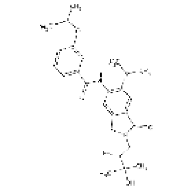 CC(C)Oc1cccc(C(=O)Nc2cc3c(cc2N(C)C)C(=O)N(C[C@@H](F)C(C)(C)O)C3)n1